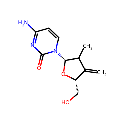 C=C1C(C)[C@@H](n2ccc(N)nc2=O)O[C@H]1CO